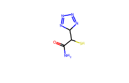 NC(=O)C(S)C1N=NN=N1